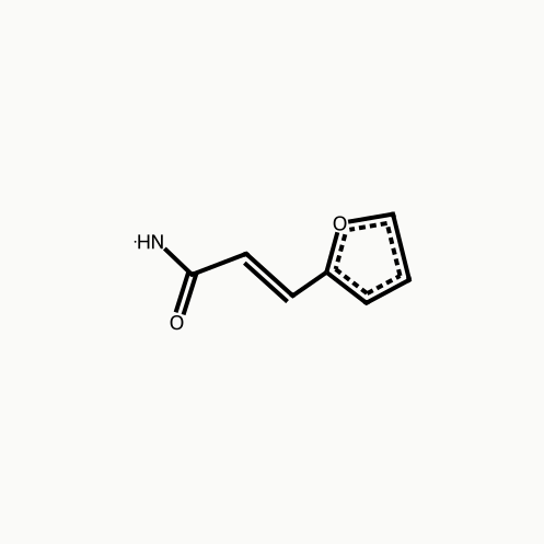 [NH]C(=O)/C=C/c1ccco1